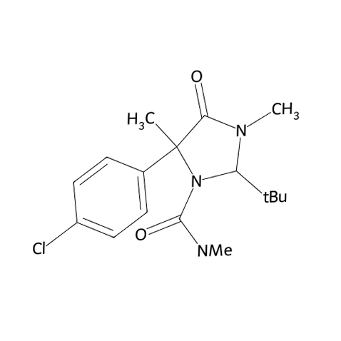 CNC(=O)N1C(C(C)(C)C)N(C)C(=O)C1(C)c1ccc(Cl)cc1